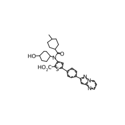 CC1CCC(C(=O)N(c2cc(-c3ccc(-c4cc5ncccn5n4)cc3)sc2C(=O)O)C2CCC(O)CC2)CC1